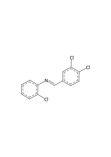 Clc1ccc(/C=N/c2ccccc2Cl)cc1Cl